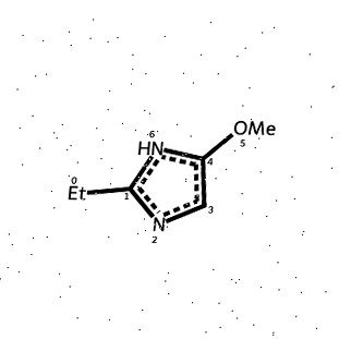 CCc1ncc(OC)[nH]1